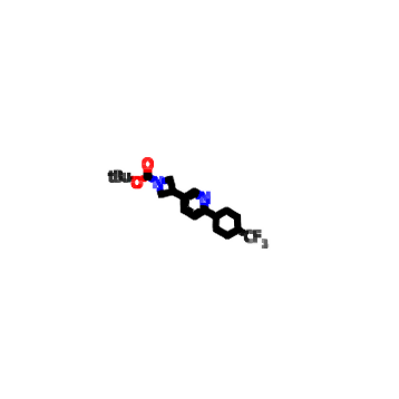 CC(C)(C)OC(=O)N1CC(c2ccc(C3CCC(C(F)(F)F)CC3)nc2)C1